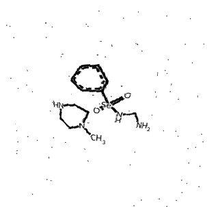 CN1CCNCC1.NCN[Se](=O)(=O)c1ccccc1